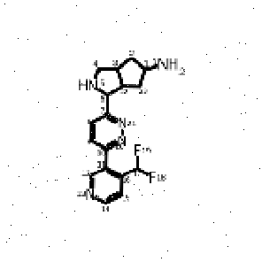 NC1CC2CNC(c3ccc(-c4cnccc4C(F)F)nn3)C2C1